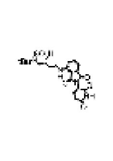 CC(C)(C)N(CCCCNc1cccc2c1C(=O)N(C1CCC(=O)NC1=O)C2=O)C(=O)O